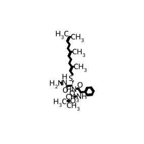 CC(C)=CCC/C(C)=C/CC/C(C)=C/CSC[C@H](NC(=O)C(NC(=O)OC(C)(C)C)c1ccccc1)C(=O)NN